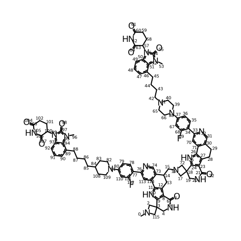 CN1CC2(CNC(=O)c3c2[nH]c2c3CC(CN3CC4(CNC(=O)c5c4[nH]c4c5CCc5cnc(-c6ccc(N7CCN(CCCCc8cccc9c8n(C)c(=O)n9C8CCC(=O)NC8=O)CC7)cc6F)cc5-4)C3)c3cnc(-c4ccc(N5CCC(CCCCc6cccc7c6n(C)c(=O)n7C6CCC(=O)NC6=O)CC5)cc4F)cc3-2)C1